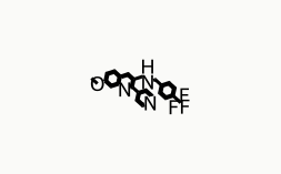 COc1ccc2cc(CNCc3ccc(C(F)(F)F)cc3)c(-c3ccncc3)nc2c1